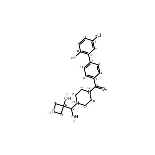 O=C(c1ccc(-c2cc(Cl)ccc2F)cc1)N1CCN(C(O)C2(O)COC2)CC1